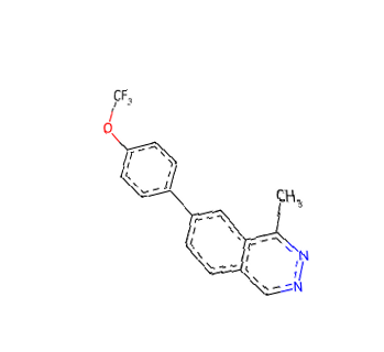 Cc1nncc2ccc(-c3ccc(OC(F)(F)F)cc3)cc12